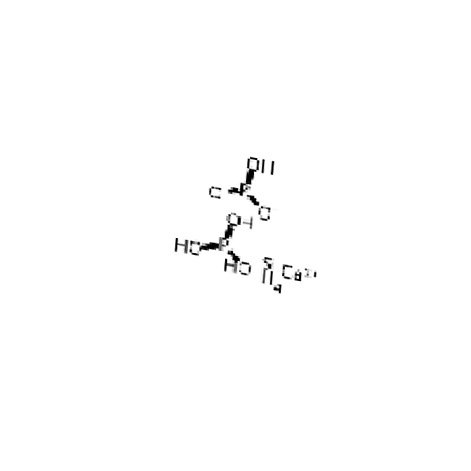 OP(O)O.[Ca+2].[O-]P([O-])O.[SiH4]